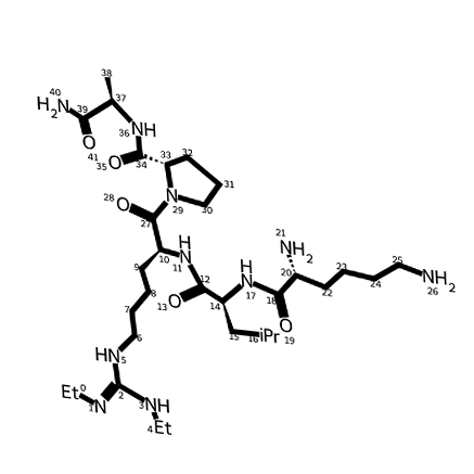 CC/N=C(/NCC)NCCCC[C@H](NC(=O)[C@H](CC(C)C)NC(=O)[C@H](N)CCCCN)C(=O)N1CCC[C@H]1C(=O)N[C@H](C)C(N)=O